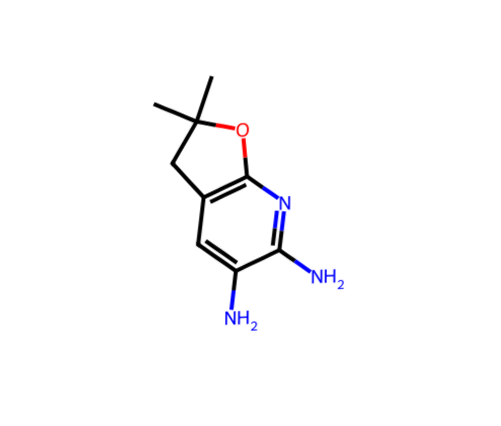 CC1(C)Cc2cc(N)c(N)nc2O1